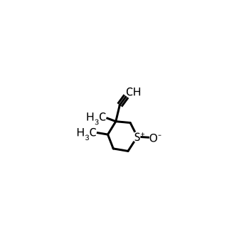 C#CC1(C)C[S+]([O-])CCC1C